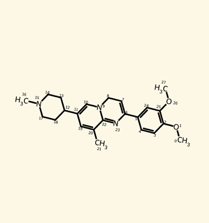 COc1ccc(C2=CCN3C=C(C4CCN(C)CC4)C=C(C)C3=N2)cc1OC